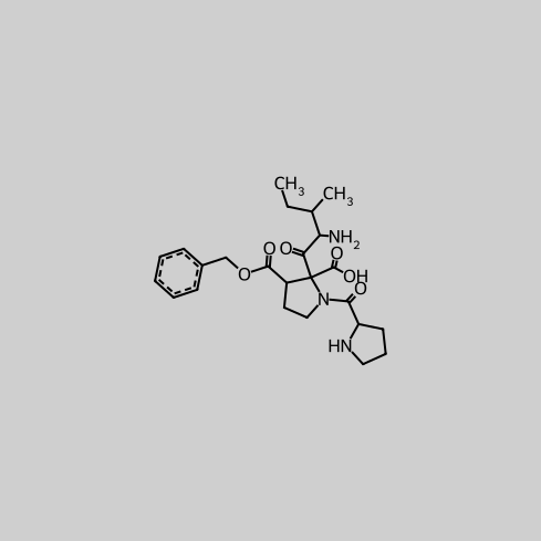 CCC(C)C(N)C(=O)C1(C(=O)O)C(C(=O)OCc2ccccc2)CCN1C(=O)C1CCCN1